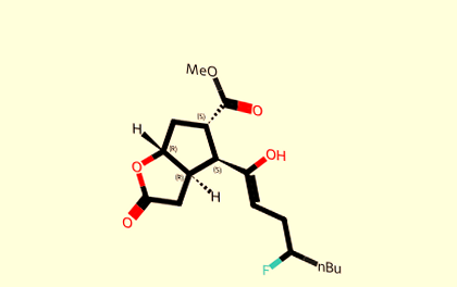 CCCCC(F)CC=C(O)[C@H]1[C@H]2CC(=O)O[C@@H]2C[C@@H]1C(=O)OC